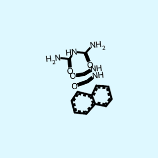 N=C=O.N=C=O.NC(=O)NC(N)=O.c1ccc2ccccc2c1